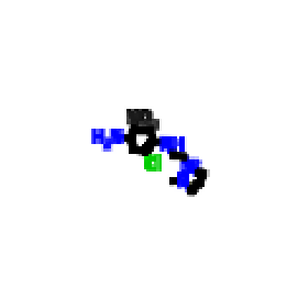 Cn1ccc[n+]1CCNc1cc([N+](=O)[O-])c(N)cc1Cl